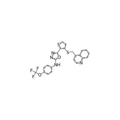 FC(F)(F)Oc1ccc(Nc2nnc(-c3sccc3SCc3ccnc4ccccc34)o2)cc1